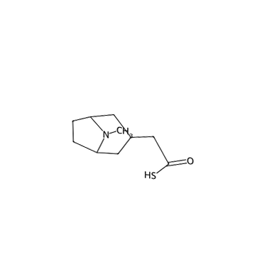 CN1C2CCC1CC(CC(=O)S)C2